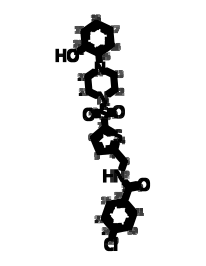 O=C(NCc1ccc(S(=O)(=O)N2CCN(c3ccccc3O)CC2)s1)c1ccc(Cl)cc1